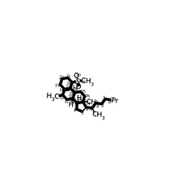 CC(C)CCC[C@@H](C)[C@H]1CC[C@H]2[C@@H]3CC(C)C4=C(C(S(C)(=O)=O)C[CH]C4)[C@H]3CC[C@]12C